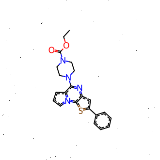 CCOC(=O)N1CCN(c2nc3cc(-c4ccccc4)sc3n3cccc23)CC1